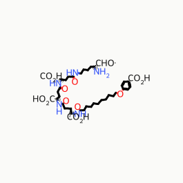 N[C@H]([C]=O)CCCCNC(=O)CC[C@H](NC(=O)CC[C@H](NC(=O)CC[C@H](NC(=O)CCCCCCCCCCOc1ccc(C(=O)O)cc1)C(=O)O)C(=O)O)C(=O)O